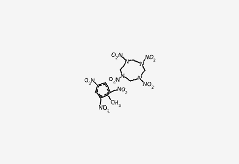 Cc1c([N+](=O)[O-])cc([N+](=O)[O-])cc1[N+](=O)[O-].O=[N+]([O-])N1CN([N+](=O)[O-])CN([N+](=O)[O-])CN([N+](=O)[O-])C1